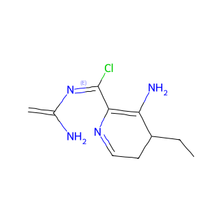 C=C(N)/N=C(/Cl)C1=C(N)C(CC)CC=N1